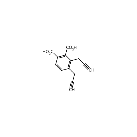 C#CCc1ccc(C(=O)O)c(C(=O)O)c1CC#C